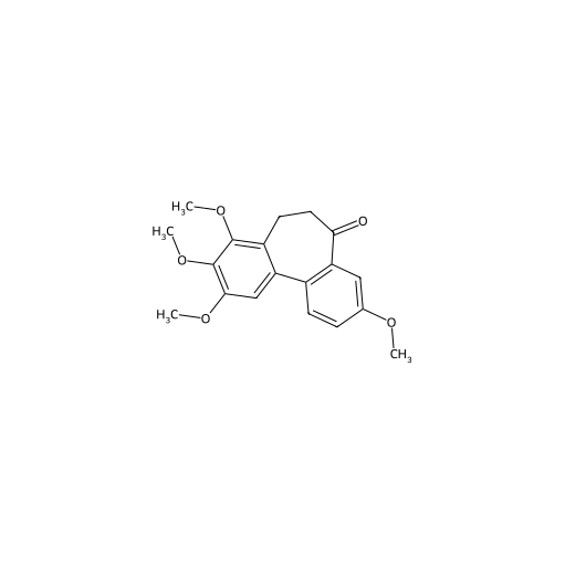 COc1ccc2c(c1)C(=O)CCc1c-2cc(OC)c(OC)c1OC